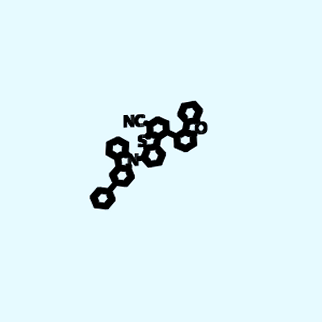 N#Cc1ccc(-c2cccc3oc4ccccc4c23)c2c1sc1c(-n3c4ccccc4c4cc(-c5ccccc5)ccc43)cccc12